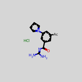 CC(=O)c1cc(C(=O)N=C(N)N)cc(-n2cccc2)c1.Cl